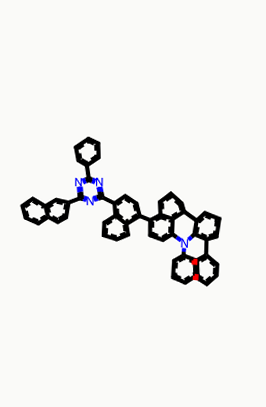 c1ccc(-c2nc(-c3ccc4ccccc4c3)nc(-c3ccc(-c4ccc5c6c(cccc46)-c4cccc(-c6ccccc6)c4N5c4ccccc4)c4ccccc34)n2)cc1